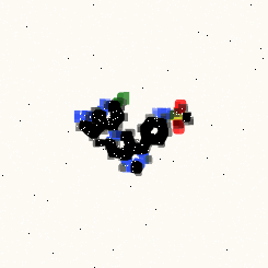 C[C@@H]1Cc2ncnc(C3=CCC(NS(C)(=O)=O)CC3)c2CN1c1cc(Cl)nc2[nH]ccc12